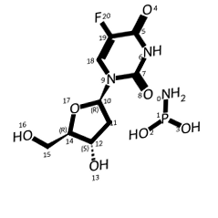 NP(O)O.O=c1[nH]c(=O)n([C@H]2C[C@H](O)[C@@H](CO)O2)cc1F